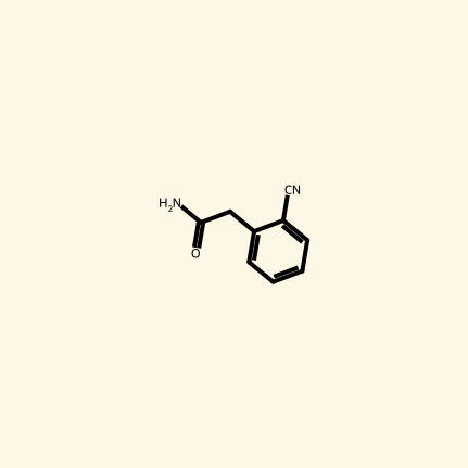 N#Cc1ccccc1CC(N)=O